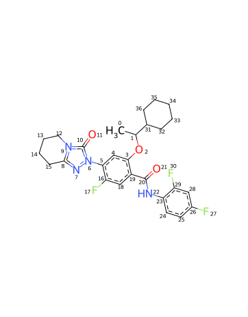 CC(Oc1cc(-n2nc3n(c2=O)CCCC3)c(F)cc1C(=O)Nc1ccc(F)cc1F)C1CCCCC1